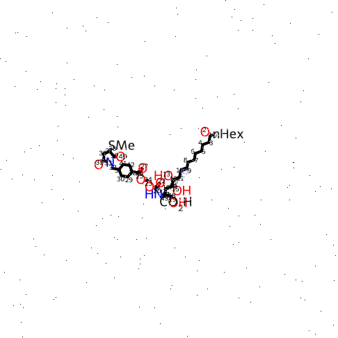 CCCCCCC(=O)CCCCCC/C=C/C[C@@H](O)[C@H](O)C[C@](CO)(NC(=O)OCOC(=O)C1CCC(CN2C(=O)CC(SC)C2=O)CC1)C(=O)O